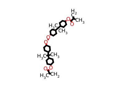 C=C(C)C(=O)OC1CCC(C(C)(C)C2CCC(OCOC3CCC(C(C)(C)C4CCC(OC(=O)C(=C)C)CC4)CC3)CC2)CC1